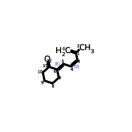 C=C(C)/C=C\C=C1/CCCCC1=O